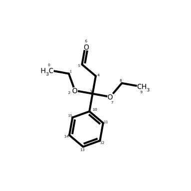 CCOC(CC=O)(OCC)c1ccccc1